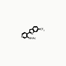 CC(=O)Nc1cnccc1C1=Nc2cc(C(F)(F)F)ccc2C1